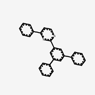 c1ccc(-c2cc(-c3ccccc3)cc(-c3nccc(-c4ccccc4)n3)c2)cc1